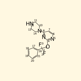 FC(F)(Oc1nccc(N2CCNCC2)n1)c1ccccc1